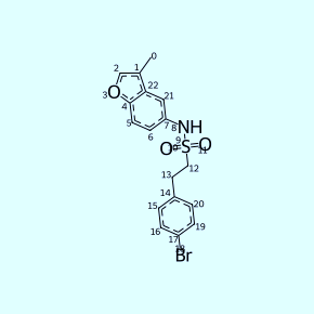 Cc1coc2ccc(NS(=O)(=O)CCc3ccc(Br)cc3)cc12